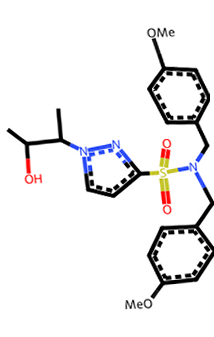 COc1ccc(CN(Cc2ccc(OC)cc2)S(=O)(=O)c2ccn(C(C)C(C)O)n2)cc1